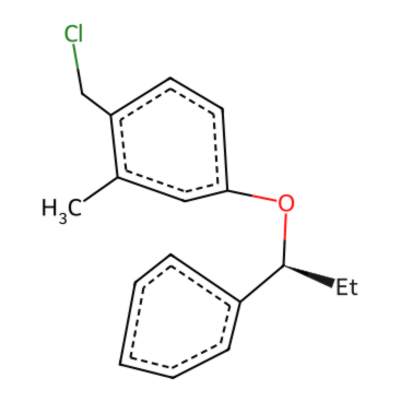 [CH2]C[C@H](Oc1ccc(CCl)c(C)c1)c1ccccc1